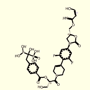 N=C(/C=C\O)OC[C@H]1CN(c2cc(F)c(C3=CCN(C(=O)[C@H](CO)OC(=O)c4ccc(CC(O)(P(O)O)P(=O)(O)O)cc4)CC3)c(F)c2)C(=O)O1